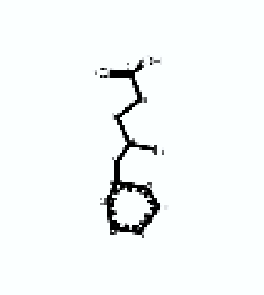 O=C(O)CCC(I)Cc1ccccc1